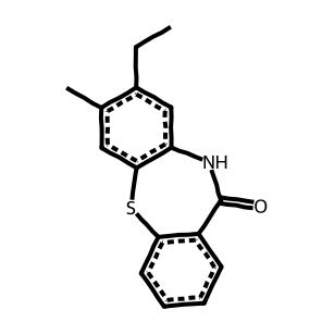 CCc1cc2c(cc1C)Sc1ccccc1C(=O)N2